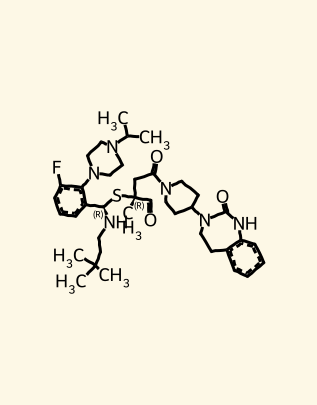 CC(C)N1CCN(c2c(F)cccc2[C@H](NCCC(C)(C)C)S[C@@](C)(C=O)CC(=O)N2CCC(N3CCc4ccccc4NC3=O)CC2)CC1